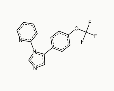 FC(F)(F)Oc1ccc(-c2cncn2-c2ccccn2)cc1